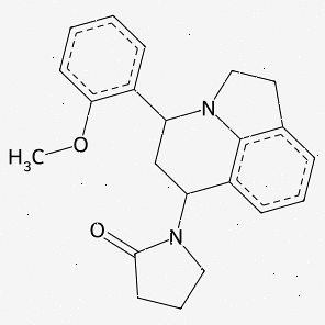 COc1ccccc1C1CC(N2CCCC2=O)c2cccc3c2N1CC3